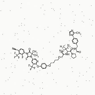 Cc1ncsc1-c1ccc(CNC(=O)[C@@H]2CCCN2C(=O)[C@@H](NC(=O)COCCCCOc2ccc(Oc3ncc(N4C(=S)N(c5ccc(C#N)c(C(F)(F)F)c5F)C(=O)C4(C)C)cc3C(F)(F)F)cc2)C(C)(C)C)cc1